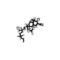 CCCC(C)(C)CC[C@](C)(C=O)CCC(C)(C)[C@]1(C)CC[C@H]2C(C)(C)C(=O)C(C#N)=C[C@]2(C)[C@H]1CC(C)=O